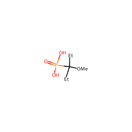 CCC(CC)(OC)P(=O)(O)O